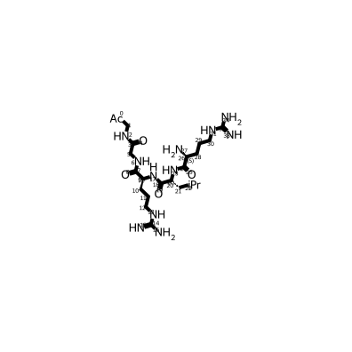 CC(=O)CNC(=O)CNC(=O)[C@H](CCCNC(=N)N)NC(=O)[C@@H](CC(C)C)NC(=O)[C@@H](N)CCCNC(=N)N